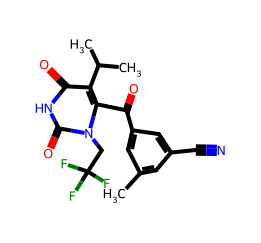 Cc1cc(C#N)cc(C(=O)c2c(C(C)C)c(=O)[nH]c(=O)n2CC(F)(F)F)c1